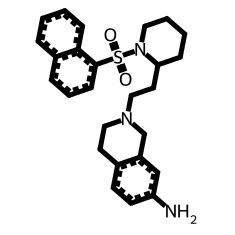 Nc1ccc2c(c1)CN(CCC1CCCCN1S(=O)(=O)c1cccc3ccccc13)CC2